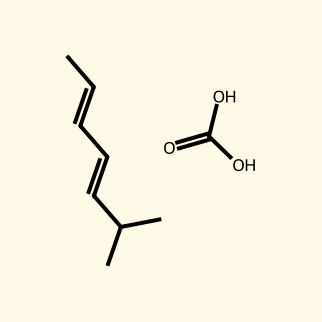 CC=CC=CC(C)C.O=C(O)O